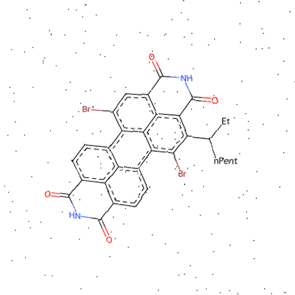 CCCCCC(CC)c1c2c3c(cc(Br)c4c5ccc6c7c(ccc(c(c1Br)c34)c75)C(=O)NC6=O)C(=O)NC2=O